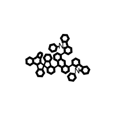 c1ccc(-n2c3ccccc3c3cccc(-c4cccc5c(-c6cccc7c6-c6ccccc6C76c7ccccc7-c7c6c6ccccc6c6ccccc76)c6cccc(-c7cccc8c9ccccc9n(-c9ccccc9)c78)c6cc45)c32)cc1